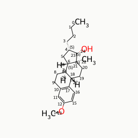 CCCC[C@H]1C[C@H]2[C@@H]3CCc4cc(OC)ccc4[C@H]3CC[C@]2(C)[C@H]1O